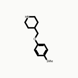 CSc1ccc(OCC2CCNCC2)cc1